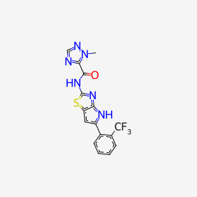 Cn1ncnc1C(=O)Nc1nc2[nH]c(-c3ccccc3C(F)(F)F)cc2s1